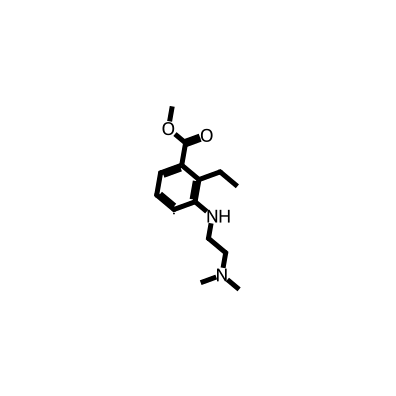 CCc1c(NCCN(C)C)[c]ccc1C(=O)OC